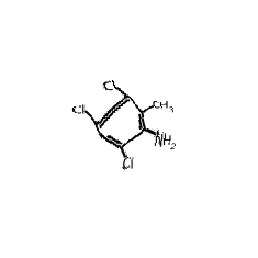 Cc1c(N)c(Cl)cc(Cl)c1Cl